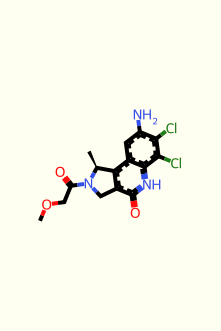 COCC(=O)N1Cc2c(c3cc(N)c(Cl)c(Cl)c3[nH]c2=O)[C@@H]1C